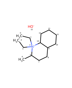 CC[N+]1(CC)C(C)CCC2CCCCC21.[OH-]